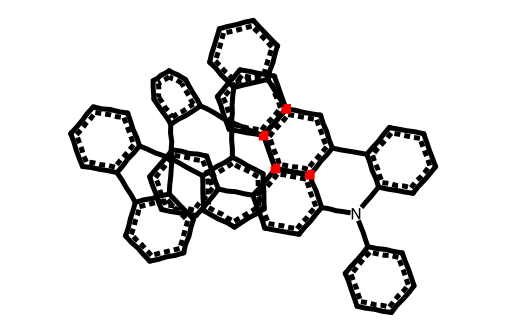 c1ccc(-c2ccc(N(c3ccccc3)c3ccccc3-c3ccc4c(c3)-c3ccccc3C43c4ccccc4C4(c5ccccc5-c5ccccc54)c4ccccc43)cc2-c2ccccc2)cc1